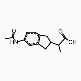 CC(=O)Nc1ccc2c(c1)CC(C(C)C(=O)O)C2